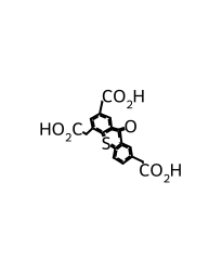 O=C(O)Cc1ccc2sc3c(CC(=O)O)cc(CC(=O)O)cc3c(=O)c2c1